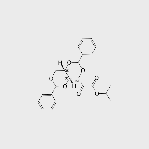 CC(C)OC(=O)C(=O)[C@H]1OC(c2ccccc2)O[C@H]2COC(c3ccccc3)O[C@H]21